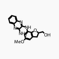 COc1cc2c(c(Nc3nc4ccccc4nc3N)c1)OC(CO)C2